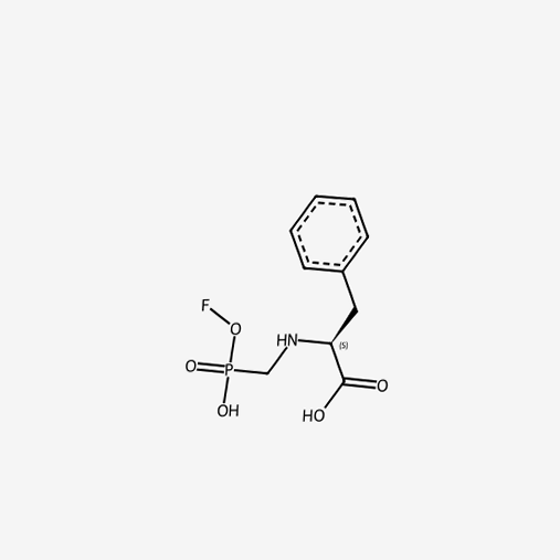 O=C(O)[C@H](Cc1ccccc1)NCP(=O)(O)OF